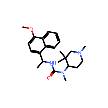 COc1ccc(C(C)NC(=O)N(C)C2CCN(C)CC2(C)C)c2ccccc12